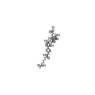 CC(=O)NCCCCCC(=O)NCc1ccc(C(=O)N[C@@H](COP(=O)(O)N[C@@H](CCC(=O)O)C(=O)O)C(=O)O)cc1